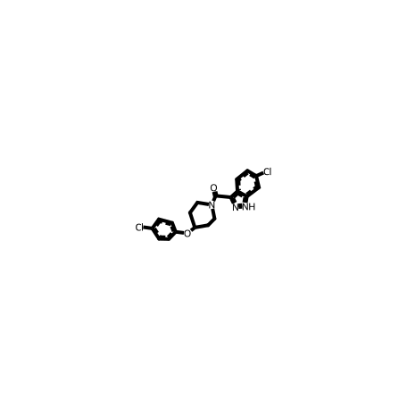 O=C(c1n[nH]c2cc(Cl)ccc12)N1CCC(Oc2ccc(Cl)cc2)CC1